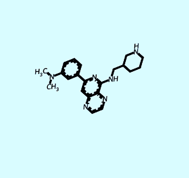 CN(C)c1cccc(-c2cc3nccnc3c(NCC3CCCNC3)n2)c1